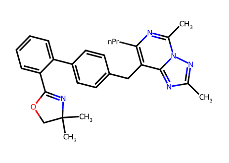 CCCc1nc(C)n2nc(C)nc2c1Cc1ccc(-c2ccccc2C2=NC(C)(C)CO2)cc1